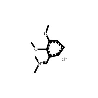 COc1cccc(C=[N+](C)C)c1OC.[Cl-]